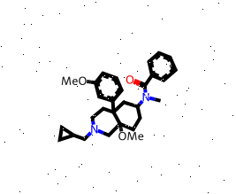 COc1cccc(C23CCN(CC4CC4)CC2(OC)CCC(N(C)C(=O)c2ccccc2)C3)c1